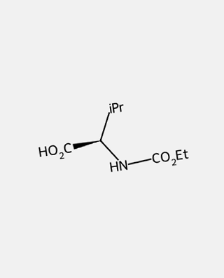 CCOC(=O)N[C@@H](C(=O)O)C(C)C